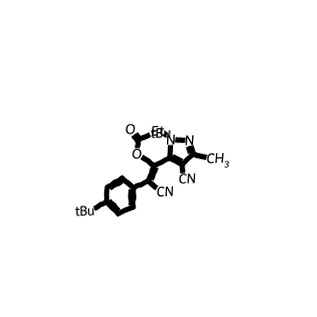 CCn1nc(C)c(C#N)c1C(OC(=O)C(C)(C)C)=C(C#N)c1ccc(C(C)(C)C)cc1